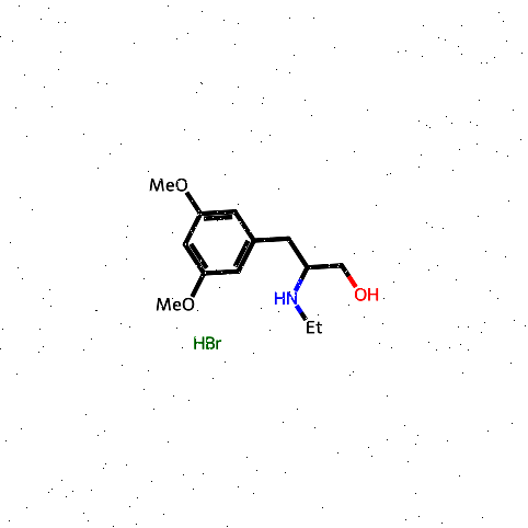 Br.CCNC(CO)Cc1cc(OC)cc(OC)c1